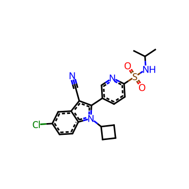 CC(C)NS(=O)(=O)c1ccc(-c2c(C#N)c3cc(Cl)ccc3n2C2CCC2)cn1